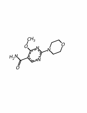 COc1nc(N2CCOCC2)ncc1C(N)=O